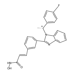 C[C@H](c1ccc(F)cc1)n1c(-c2cccc(C=CC(=O)NO)c2)nc2ccccc21